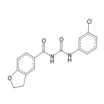 O=C(NC(=O)c1ccc2c(c1)CCO2)Nc1cccc(Cl)c1